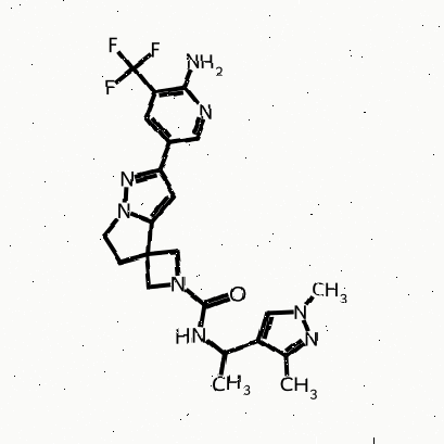 Cc1nn(C)cc1C(C)NC(=O)N1CC2(CCn3nc(-c4cnc(N)c(C(F)(F)F)c4)cc32)C1